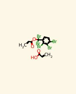 C=CC(=O)O.C=CC(=O)OC(Br)(Br)c1ccc(Br)c(Br)c1Br